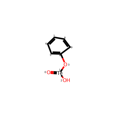 O=[Te](O)Oc1ccccc1